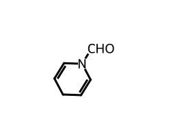 O=CN1C=CCC=C1